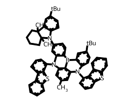 Cc1cc2c3c(c1)N(c1cccc4sc5ccccc5c14)c1ccc(C(C)(C)C)cc1B3c1ccc(N3c4ccc(C(C)(C)C)cc4C4(C)CCCCC34C)cc1N2c1cccc2c1sc1ccccc12